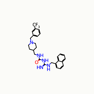 N=C(NCc1cccc2ccccc12)NC(=O)NCC1CCN(Cc2cccc(C(F)(F)F)c2)CC1